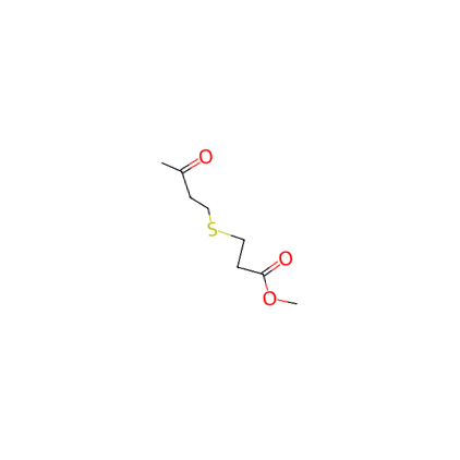 COC(=O)CCSCCC(C)=O